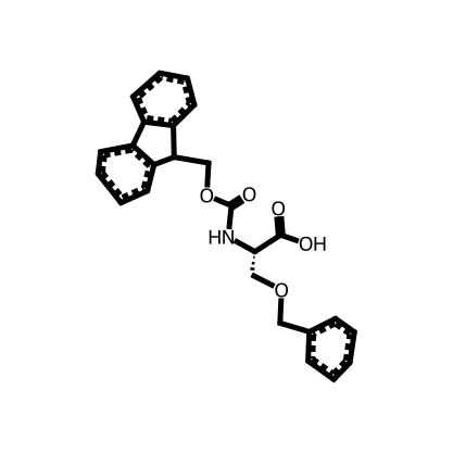 O=C(N[C@@H](COCc1ccccc1)C(=O)O)OCC1c2ccccc2-c2ccccc21